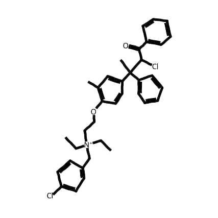 CC[N+](CC)(CCOc1ccc(C(C)(c2ccccc2)C(Cl)C(=O)c2ccccc2)cc1C)Cc1ccc(Cl)cc1